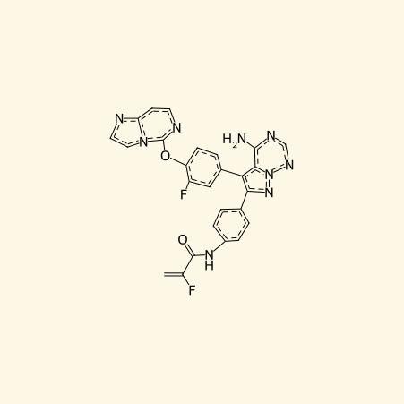 C=C(F)C(=O)Nc1ccc(-c2nn3ncnc(N)c3c2-c2ccc(Oc3nccc4nccn34)c(F)c2)cc1